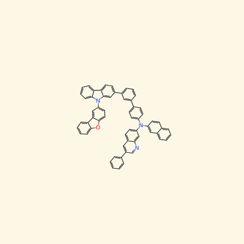 c1ccc(-c2cnc3cc(N(c4ccc(-c5cccc(-c6ccc7c8ccccc8n(-c8ccc9oc%10ccccc%10c9c8)c7c6)c5)cc4)c4ccc5ccccc5c4)ccc3c2)cc1